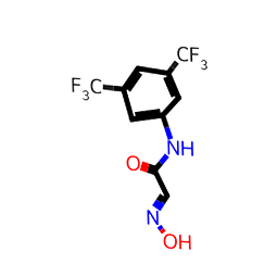 O=C(C=NO)Nc1cc(C(F)(F)F)cc(C(F)(F)F)c1